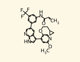 C=CC(=O)Nc1cc(-c2cnc3[nH]cc(-c4cc(OC)ncc4OCCC4CC4)c3c2)cc(C(F)(F)F)c1